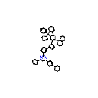 c1ccc(-c2ccc(-c3cc(-c4ccccc4)nc(-c4cccc(-c5cccc(-c6cc7c(cc6-c6cccc8ccccc68)-c6ccccc6C7(c6ccccc6)c6ccccc6)c5)c4)n3)cc2)cc1